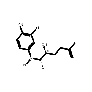 C=C(C)CC[C@H](O)[C@H](C)N(c1ccc(C#N)c(Cl)c1)C(C)C